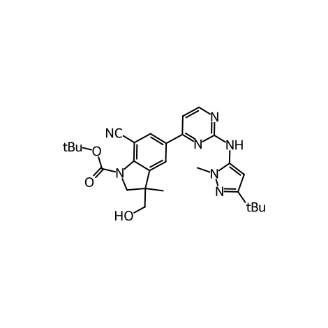 Cn1nc(C(C)(C)C)cc1Nc1nccc(-c2cc(C#N)c3c(c2)C(C)(CO)CN3C(=O)OC(C)(C)C)n1